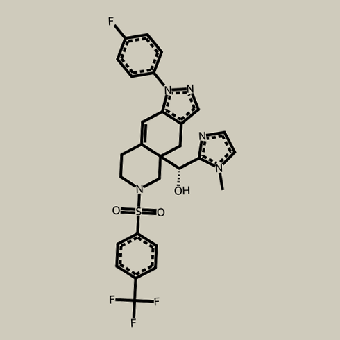 Cn1ccnc1[C@H](O)C12Cc3cnn(-c4ccc(F)cc4)c3C=C1CCN(S(=O)(=O)c1ccc(C(F)(F)F)cc1)C2